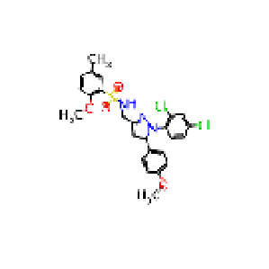 COc1ccc(C2CC(CNS(=O)(=O)c3cc(C)ccc3OC)=NN2c2ccc(Cl)cc2Cl)cc1